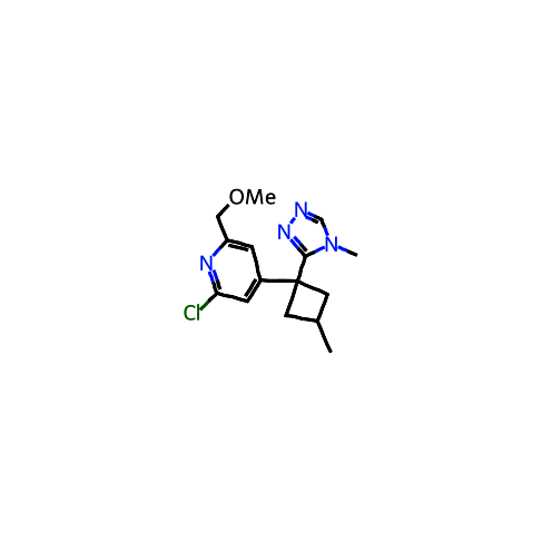 COCc1cc(C2(c3nncn3C)CC(C)C2)cc(Cl)n1